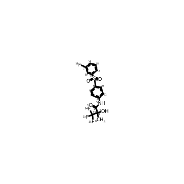 CC(O)(C(=O)Nc1ccc(S(=O)(=O)c2cccc(F)c2)cc1)C(F)(F)F